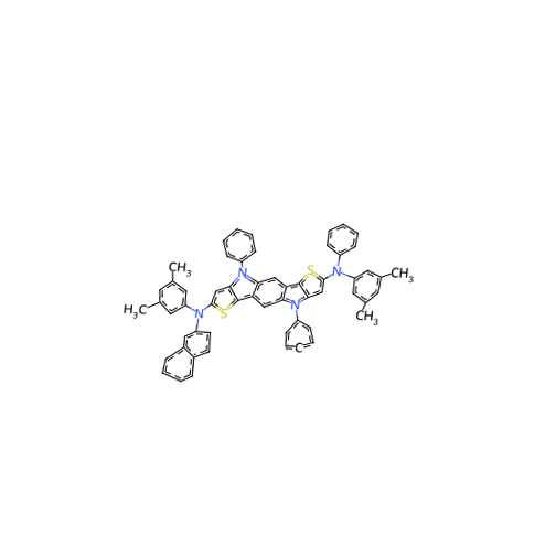 Cc1cc(C)cc(N(c2ccccc2)c2cc3c(s2)c2cc4c(cc2n3-c2ccccc2)c2sc(N(c3cc(C)cc(C)c3)c3ccc5ccccc5c3)cc2n4-c2ccccc2)c1